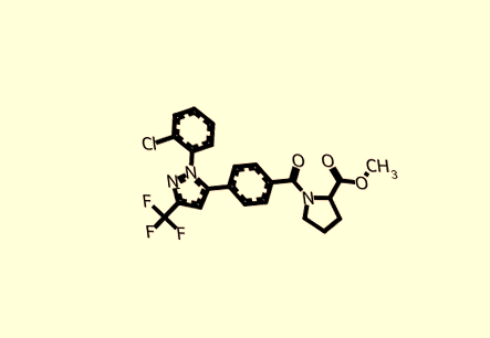 COC(=O)C1CCCN1C(=O)c1ccc(-c2cc(C(F)(F)F)nn2-c2ccccc2Cl)cc1